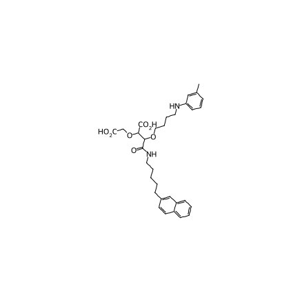 Cc1cccc(NCCCCOC(C(=O)NCCCCCc2ccc3ccccc3c2)C(OCC(=O)O)C(=O)O)c1